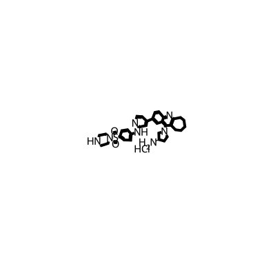 Cl.N[C@H]1CCN(c2c3c(nc4ccc(-c5ccnc(Nc6ccc(S(=O)(=O)N7CCNCC7)cc6)c5)cc24)CCCCC3)C1